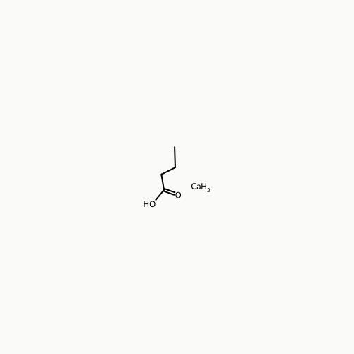 CCCC(=O)O.[CaH2]